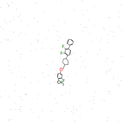 Cc1ccc(OCC2CCC(c3ccc(-c4ccccc4)c(F)c3F)CC2)cc1F